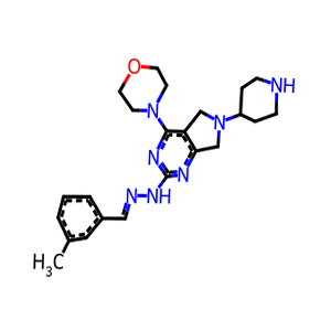 Cc1cccc(/C=N/Nc2nc3c(c(N4CCOCC4)n2)CN(C2CCNCC2)C3)c1